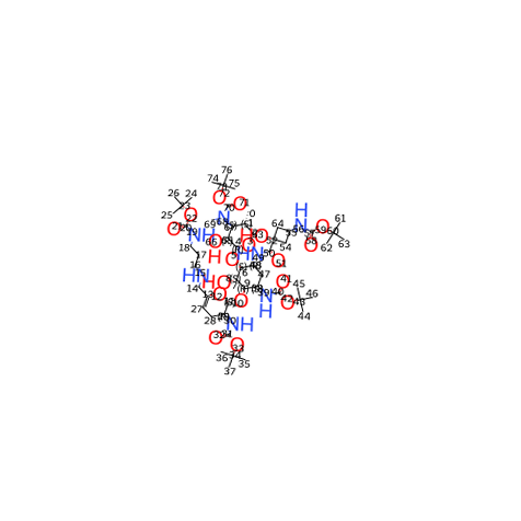 C[C@@H]1CO[C@H](O[C@@H]2[C@@H](O)[C@H](O[C@H]3OC(CNCCCNC(=O)OC(C)(C)C)=CC[C@H]3NC(=O)OC(C)(C)C)[C@@H](NC(=O)OC(C)(C)C)C[C@H]2NC(=O)C2(O)CC(NC(=O)OC(C)(C)C)C2)[C@H](O)[C@H]1N(C)C(=O)OC(C)(C)C